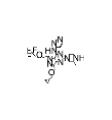 CC1CN(c2nc(Nc3ccncn3)c3c(n2)c(COCC2CC2)nn3CCOCC(F)(F)F)CCN1